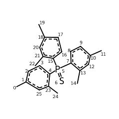 Cc1ccc(P(=S)(c2ccc(C)cc2C)c2ccc(C)cc2C)c(C)c1